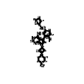 CC(=O)N1CCN(C2CC(n3cc(-c4cc(OC[C@@H]5CCCO5)ccc4F)c4c(N)ncnc43)C2)CC1